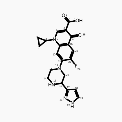 O=C(O)c1cn(C2CC2)c2cc(N3CCNC(c4cc[nH]n4)C3)c(F)cc2c1=O